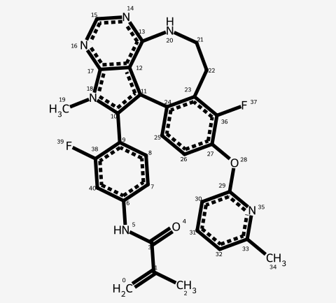 C=C(C)C(=O)Nc1ccc(-c2c3c4c(ncnc4n2C)NCCc2c-3ccc(Oc3cccc(C)n3)c2F)c(F)c1